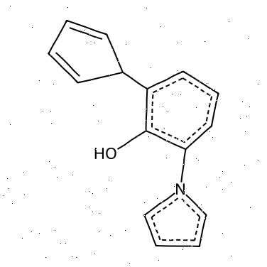 Oc1c(C2C=CC=C2)cccc1-n1cccc1